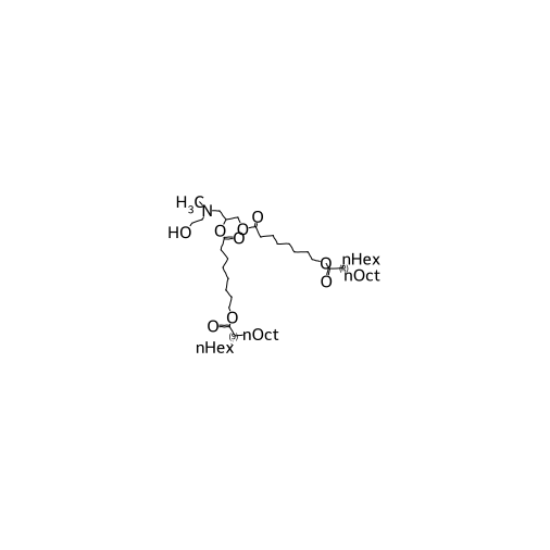 CCCCCCCC[C@@H](CCCCCC)C(=O)OCCCCCCCC(=O)OCC(CN(C)CCO)OC(=O)CCCCCCCOC(=O)[C@@H](CCCCCC)CCCCCCCC